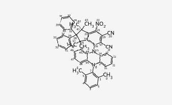 Cc1cccc(C)c1N1c2ccccc2N(c2c(C#N)c(C#N)c([N+](=O)[O-])c3c2C(C)(C)C(c2ccccc2)(c2ccccc2)C3(C)C)c2ccccc21